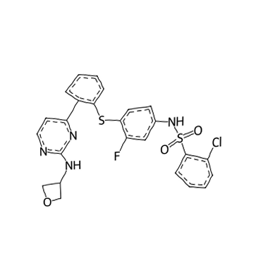 O=S(=O)(Nc1ccc(Sc2ccccc2-c2ccnc(NC3COC3)n2)c(F)c1)c1ccccc1Cl